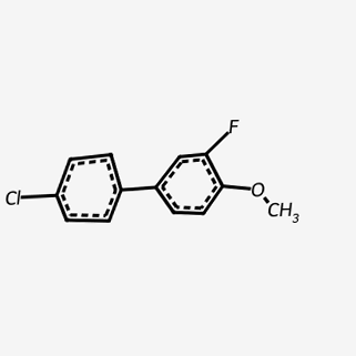 COc1ccc(-c2ccc(Cl)cc2)cc1F